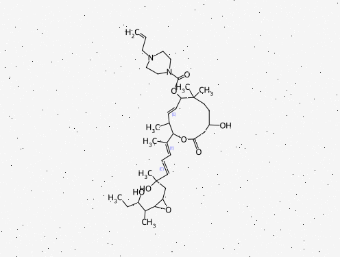 C=CCN1CCN(C(=O)OC2/C=C/C(C)C(/C(C)=C/C=C/C(C)(O)CC3OC3C(C)C(O)CC)OC(=O)CC(O)CCC2(C)C)CC1